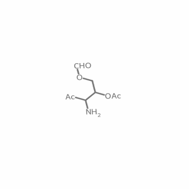 CC(=O)OC(COC=O)C(N)C(C)=O